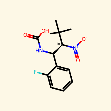 CC(C)(C)[C@H](C(NC(=O)O)c1ccccc1F)[N+](=O)[O-]